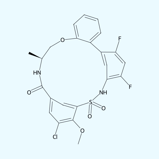 COc1c(Cl)cc2cc1S(=O)(=O)Nc1cc(c(F)cc1F)-c1ccccc1OC[C@H](C)NC2=O